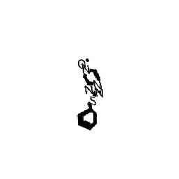 CON1C=Cn2nc(SCc3ccccc3)nc2C1